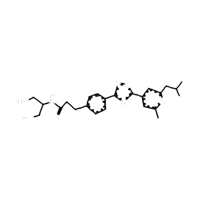 Cc1cc(-c2nc(-c3ccc(CCC(=O)NC(CO)CO)cc3)no2)cc(CC(C)C)n1